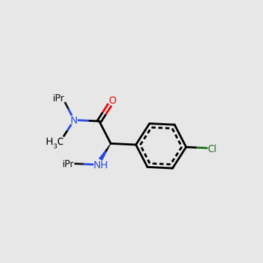 CC(C)N[C@@H](C(=O)N(C)C(C)C)c1ccc(Cl)cc1